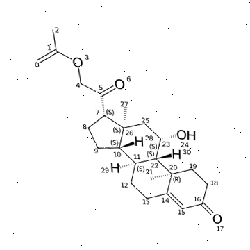 C=C(C)OCC(=O)[C@H]1CC[C@H]2[C@@H]3CCC4=CC(=O)CC[C@]4(C)[C@H]3[C@@H](O)C[C@]12C